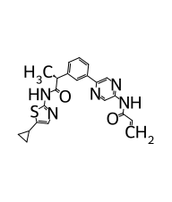 C=CC(=O)Nc1cnc(-c2cccc([C@H](C)C(=O)Nc3ncc(C4CC4)s3)c2)cn1